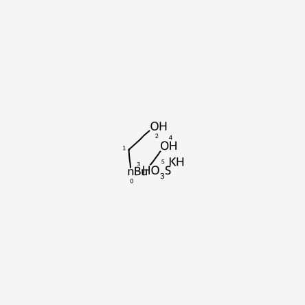 CCCCCO.O=S(=O)(O)O.[KH]